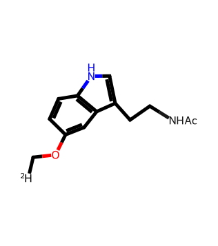 [2H]COc1ccc2[nH]cc(CCNC(C)=O)c2c1